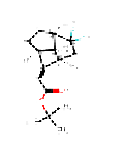 CC(C)(C)OC(=O)C=C1[C@H]2CC[C@@H]3[C@H]2[C@H]1CC3(F)F